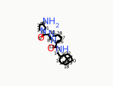 N[C@@H]1CCN(C(=O)c2cn3c(C(=O)NCC45CC6CC7CC(C4)C7(C6)C5)cccc3n2)C1